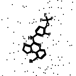 Fc1cc(NC2=Nc3cccc(Br)c3N3CCN=C23)ccc1OC(F)(F)F